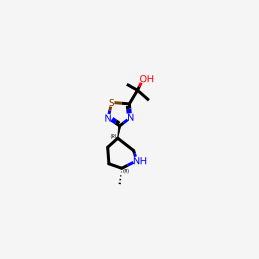 C[C@@H]1CC[C@@H](c2nsc(C(C)(C)O)n2)CN1